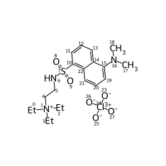 CC[N+](CC)(CC)CCNS(=O)(=O)c1cccc2c(N(C)C)cccc12.[O-][Cl+3]([O-])([O-])[O-]